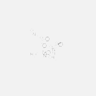 CCCc1nc2c(C)cc(C(=O)N[C@@H](CS)Cc3ccccc3)cc2n1Cc1ccc(-c2ccccc2C(=O)OCCCN2CCOCC2)cc1